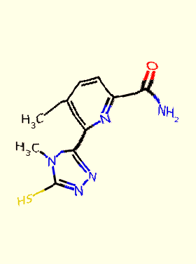 Cc1ccc(C(N)=O)nc1-c1nnc(S)n1C